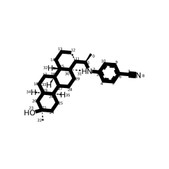 C[C@@H](Nc1ccc(C#N)cc1)[C@H]1CCC[C@H]2[C@@H]3CC[C@@H]4C[C@](C)(O)CC[C@@H]4C3CC[C@]12C